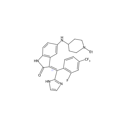 CCN1CCC(Nc2ccc3c(c2)/C(=C(/c2ncc[nH]2)c2ccc(C(F)(F)F)cc2F)C(=O)N3)CC1